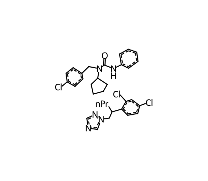 CCCC(Cn1cncn1)c1ccc(Cl)cc1Cl.O=C(Nc1ccccc1)N(Cc1ccc(Cl)cc1)C1CCCC1